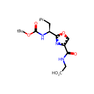 CC(C)C[C@H](NC(=O)OC(C)(C)C)c1nc(C(=O)NCC(=O)O)co1